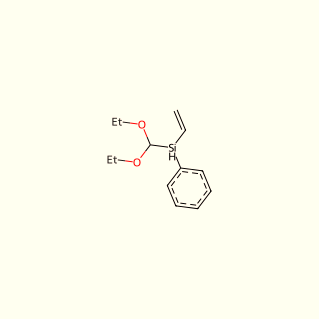 C=C[SiH](c1ccccc1)C(OCC)OCC